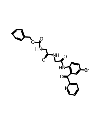 O=C(CNC(=O)OCc1ccccc1)NCC(=O)Nc1ccc(Br)cc1C(=O)c1ccccn1